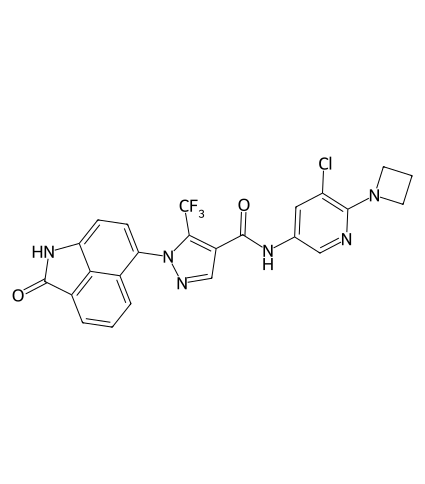 O=C(Nc1cnc(N2CCC2)c(Cl)c1)c1cnn(-c2ccc3c4c(cccc24)C(=O)N3)c1C(F)(F)F